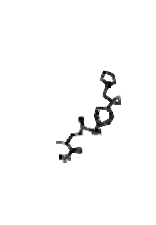 CC(C[CH]C(=O)Nc1ccc(C2(CN3CCCC3)CC2)cc1)C(N)=O